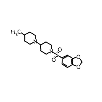 CC1CCN(C2CCN(S(=O)(=O)c3ccc4c(c3)OCO4)CC2)CC1